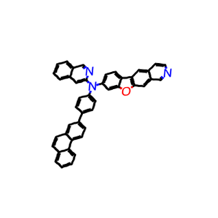 c1ccc2cc(N(c3ccc(-c4ccc5c(ccc6ccccc65)c4)cc3)c3ccc4c(c3)oc3cc5cnccc5cc34)ncc2c1